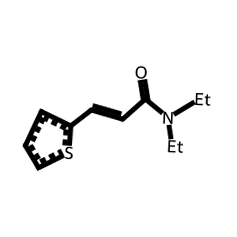 CCN(CC)C(=O)C=Cc1cccs1